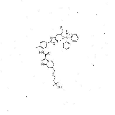 Cc1ccc(-c2nc(CC(O[Si](c3ccccc3)(c3ccccc3)C(C)(C)C)C(F)F)no2)cc1NC(=O)c1cnc2cc(COCCC(C)(C)O)ccn12